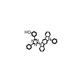 Oc1cccc(-c2nc(-c3ccccc3)nc(N3C4C=CC=CC4=C4C=C5C(=CC43)C3C=CC=CC3N5c3ccccc3)n2)c1